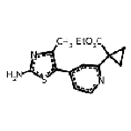 CCOC(=O)C1(c2cc(-c3sc(N)nc3C)ccn2)CC1